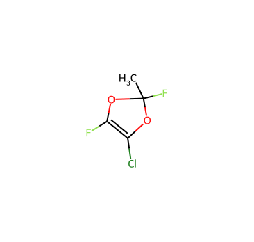 CC1(F)OC(F)=C(Cl)O1